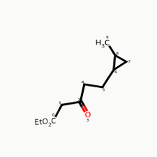 CCOC(=O)CC(=O)CCC1CC1C